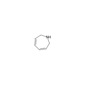 [C]1=CC=CCNC1